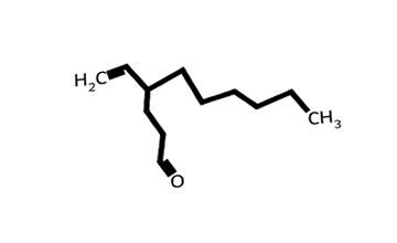 C=CC(CCC=O)CCCCCC